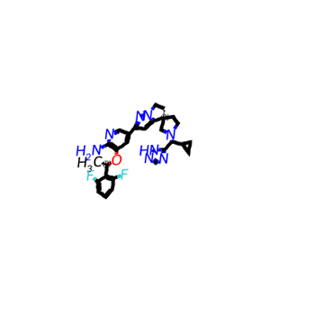 C[C@@H](Oc1cc(-c2cc3n(n2)CC[C@@]32CCN(C(c3ncn[nH]3)C3CC3)C2)cnc1N)c1c(F)cccc1F